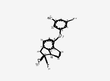 N#Cc1cc(F)cc(Oc2ccc3c4c2CCC4C(F)(F)C3)c1